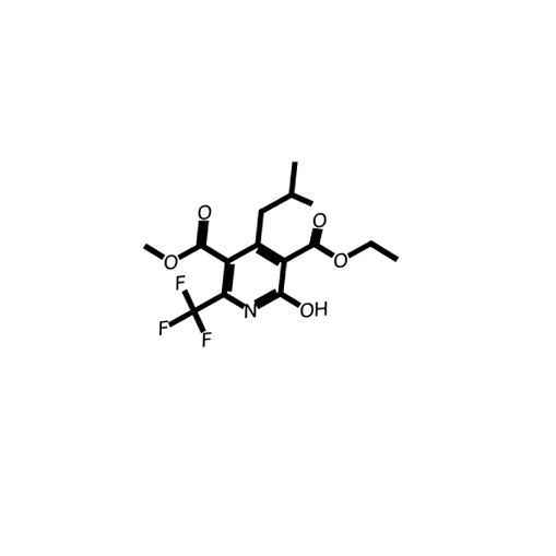 CCOC(=O)c1c(O)nc(C(F)(F)F)c(C(=O)OC)c1CC(C)C